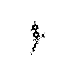 COCCCCNS(=O)(=O)c1ccc(-c2ccc(F)cc2F)cc1OC(F)(F)F